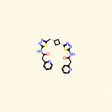 O=C(Cc1ccccn1)Nc1nnc(C[C@H]2C[C@@H](c3nnc(NC(=O)Cc4ccccn4)s3)C2)s1